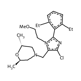 CCc1cccc(CC)c1-c1nc(Cl)c(CN2C[C@@H](C)O[C@H](C)C2)n1CCOC